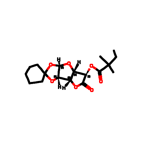 CCC(C)(C)C(=O)O[C@@H]1C(=O)O[C@@H]2[C@H]3OC4(CCCCC4)O[C@H]3O[C@@H]21